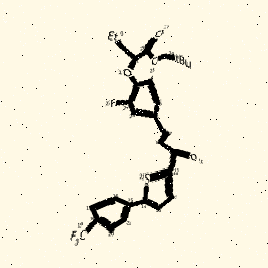 CCC(Oc1ccc(CCC(=O)c2ccc(-c3ccc(C(F)(F)F)cc3)s2)cc1F)C(=O)OC(C)(C)C